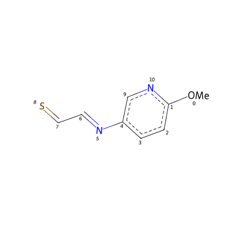 COc1ccc(N=CC=S)cn1